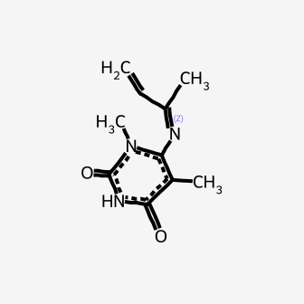 C=C/C(C)=N\c1c(C)c(=O)[nH]c(=O)n1C